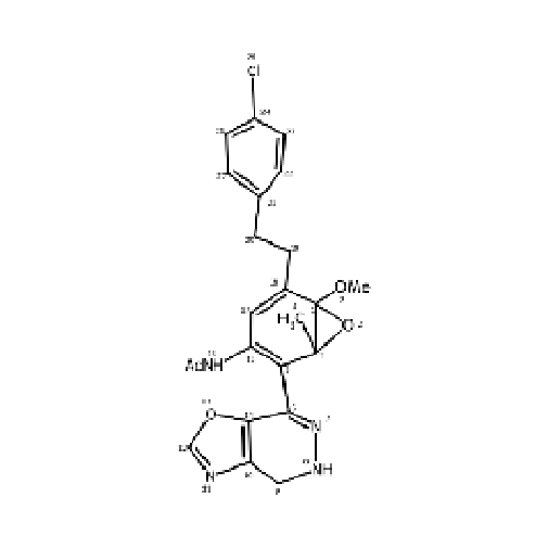 COC12OC1(C)C(C1=NNCc3ncoc31)=C(NC(C)=O)C=C2CCc1ccc(Cl)cc1